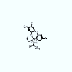 O=C(N[C@H]1CCCN2c3cc(Cl)c(Cl)cc3Oc3cc(Br)ccc3[C@@H]12)C(F)(F)F